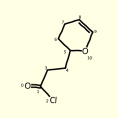 O=C(Cl)CCC1CCC=CO1